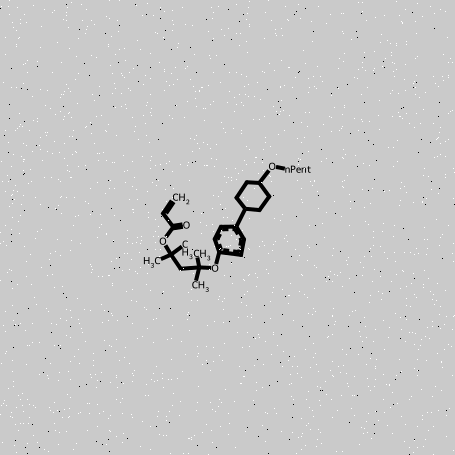 C=CC(=O)OC(C)(C)CC(C)(C)Oc1ccc(C2CCC(OCCCCC)CC2)cc1